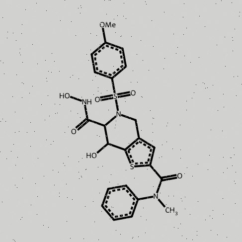 COc1ccc(S(=O)(=O)N2Cc3cc(C(=O)N(C)c4ccccc4)sc3C(O)C2C(=O)NO)cc1